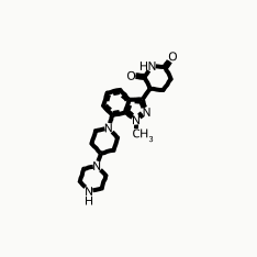 Cn1nc(C2CCC(=O)NC2=O)c2cccc(N3CCC(N4CCNCC4)CC3)c21